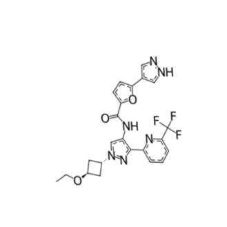 CCO[C@H]1C[C@H](n2cc(NC(=O)c3ccc(-c4cn[nH]c4)o3)c(-c3cccc(C(F)(F)F)n3)n2)C1